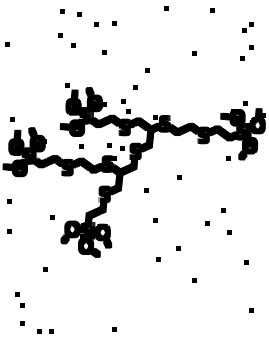 CO[Si](CCSCCSC(CSCC[Si](OC)(OC)OC)CSCC(CSCC[Si](OC)(OC)OC)SCCSCC[Si](OC)(OC)OC)(OC)OC